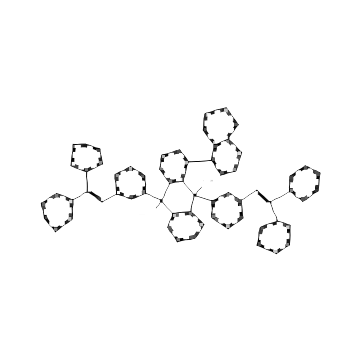 OC1(c2cccc(C=C(c3ccccc3)c3ccccc3)c2)c2ccccc2C(O)(c2cccc(C=C(c3ccccc3)c3ccccc3)c2)c2c(-c3cccc4ccccc34)cccc21